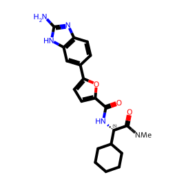 CNC(=O)[C@@H](NC(=O)c1ccc(-c2ccc3nc(N)[nH]c3c2)o1)C1CCCCC1